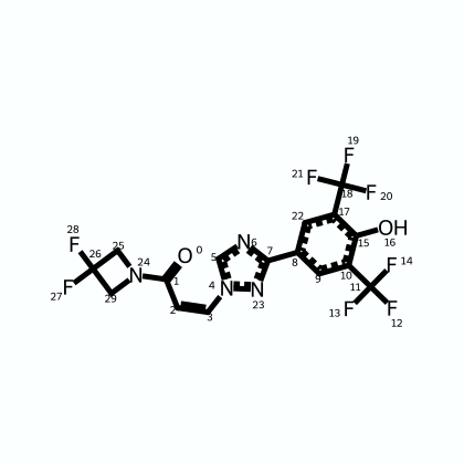 O=C(/C=C\n1cnc(-c2cc(C(F)(F)F)c(O)c(C(F)(F)F)c2)n1)N1CC(F)(F)C1